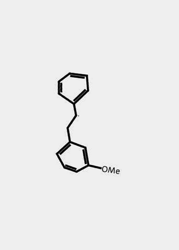 COc1cccc(C[CH]c2ccccc2)c1